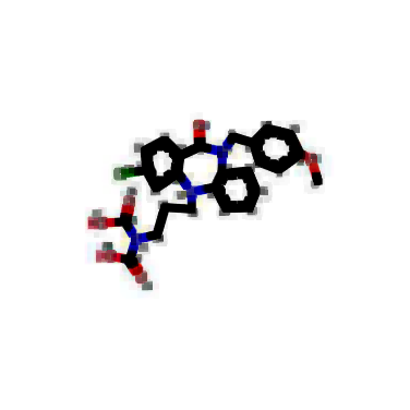 COc1ccc(CN2C(=O)c3ccc(Cl)cc3N(CCCN(C(=O)O)C(=O)O)c3ccccc32)cc1